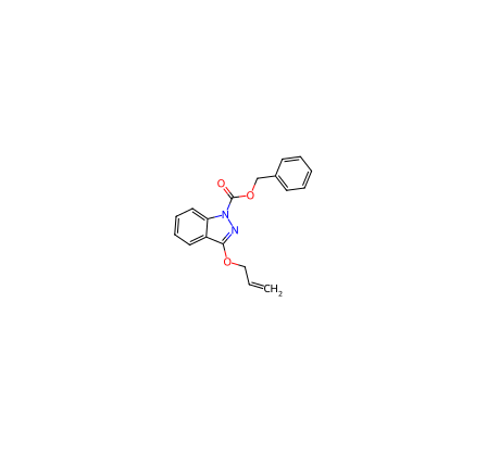 C=CCOc1nn(C(=O)OCc2ccccc2)c2ccccc12